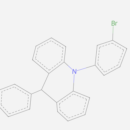 Brc1cccc(N2c3ccccc3C(c3ccccc3)c3ccccc32)c1